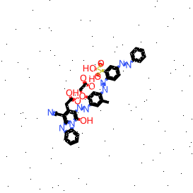 Cc1cc(N=Nc2c(CC(=O)O)c(C#N)c3nc4ccccc4n3c2O)c(OCC(=O)O)cc1N=Nc1ccc(N=Nc2ccccc2)cc1S(=O)(=O)O